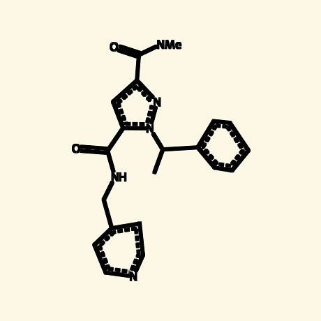 CNC(=O)c1cc(C(=O)NCc2ccncc2)n(C(C)c2ccccc2)n1